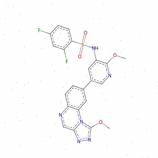 COc1ncc(-c2ccc3ncc4nnc(OC)n4c3c2)cc1NS(=O)(=O)c1ccc(F)cc1F